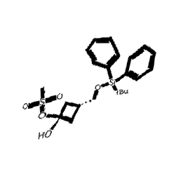 CC(C)(C)[Si](OC[C@H]1C[C@@](O)(OS(C)(=O)=O)C1)(c1ccccc1)c1ccccc1